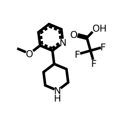 COc1cccnc1C1CCNCC1.O=C(O)C(F)(F)F